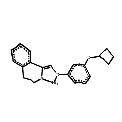 C1=C2c3ccccc3CCN2NN1c1cccc(OC2CCC2)c1